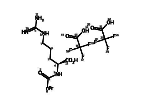 CCCC(=O)N[C@@H](CCCNC(=N)N)C(=O)O.O=C(O)C(F)(F)F.O=C(O)C(F)(F)F